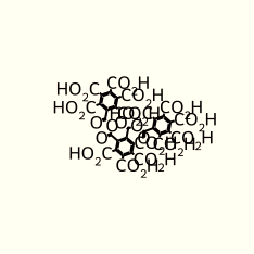 O=C(O)c1c(C(=O)O)c(C(=O)O)c(C(=O)OC(=O)c2c(C(=O)O)c(C(=O)O)c(C(=O)O)c(C(=O)O)c2C(=O)OC(=O)c2c(C(=O)O)c(C(=O)O)c(C(=O)O)c(C(=O)O)c2C(=O)O)c(C(=O)O)c1C(=O)O